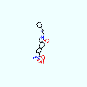 O=C(NO)c1ccc2c(c1)CC[C@]1(CCN(C/C=C/c3ccccc3)C1=O)C2